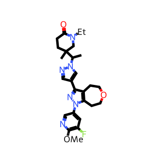 CCN1CC(C)(C(C)n2cc(-c3nn(-c4cnc(OC)c(F)c4)c4c3CCOCC4)cn2)CCC1=O